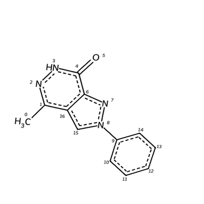 Cc1n[nH]c(=O)c2nn(-c3ccccc3)cc12